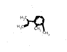 [CH2]C(C=C)c1cccc(CC)c1C